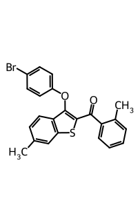 Cc1ccc2c(Oc3ccc(Br)cc3)c(C(=O)c3ccccc3C)sc2c1